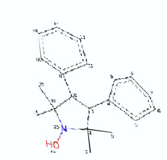 CC1(C)C(c2ccccc2)C(c2ccccc2)C(C)(C)N1O